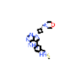 CSNCc1cccc(-c2cn([C@H]3C[C@@H](CN4CCOCC4)C3)c3ncnc(N)c23)c1